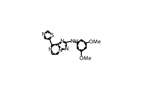 COc1cc(Nc2nc3c(-c4cncs4)nccn3n2)cc(OC)c1